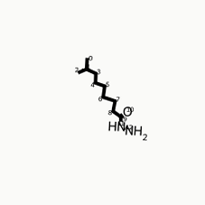 C[C](C)CCCCCCC(=O)NN